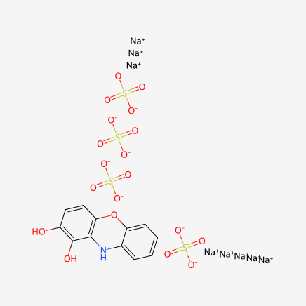 O=S(=O)([O-])[O-].O=S(=O)([O-])[O-].O=S(=O)([O-])[O-].O=S(=O)([O-])[O-].Oc1ccc2c(c1O)Nc1ccccc1O2.[Na+].[Na+].[Na+].[Na+].[Na+].[Na+].[Na+].[Na+]